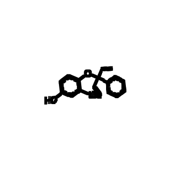 C=CC(C=C)(Oc1ccc(O)cc1C(C)(C)C)c1ccccc1